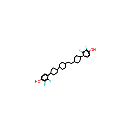 Oc1ccc(C2CCC(CCC3CCC(C4CCC(c5ccc(O)c(F)c5F)CC4)CC3)CC2)c(F)c1F